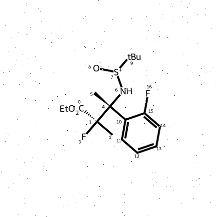 CCOC(=O)[C@](C)(F)[C@](C)(N[S+]([O-])C(C)(C)C)c1ccccc1F